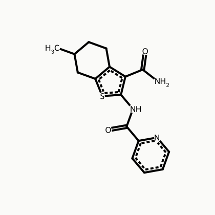 CC1CCc2c(sc(NC(=O)c3ccccn3)c2C(N)=O)C1